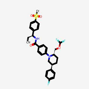 CCS(=O)(=O)c1ccc([C@H](CC#N)NC(=O)c2ccc(N3C[C@H](c4ccc(F)cc4)CC[C@H]3COC(F)F)cc2)cc1